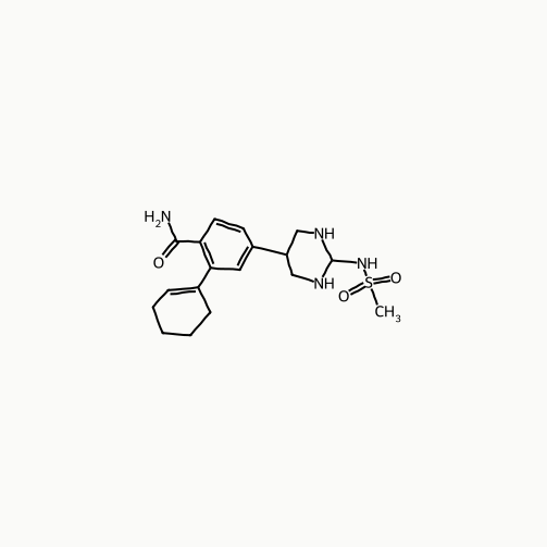 CS(=O)(=O)NC1NCC(c2ccc(C(N)=O)c(C3=CCCCC3)c2)CN1